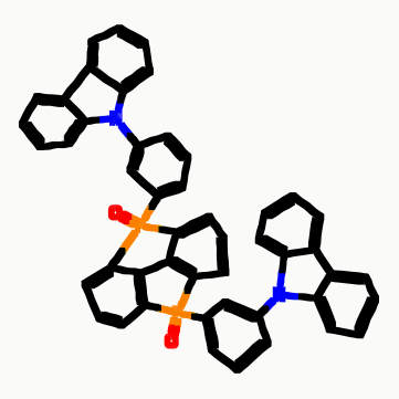 O=P1(c2cccc(-n3c4ccccc4c4ccccc43)c2)c2cccc3c2-c2c1cccc2P3(=O)c1cccc(-n2c3ccccc3c3ccccc32)c1